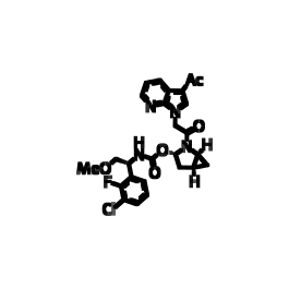 COC[C@@H](NC(=O)O[C@H]1C[C@H]2C[C@H]2N1C(=O)Cn1cc(C(C)=O)c2cccnc21)c1cccc(Cl)c1F